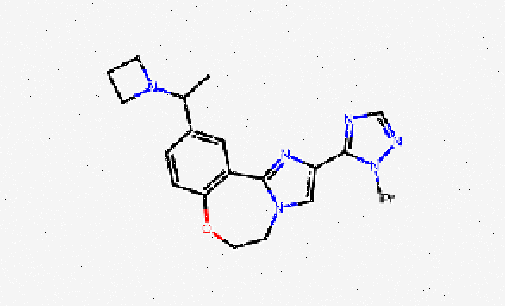 CC(c1ccc2c(c1)-c1nc(-c3ncnn3C(C)C)cn1CCO2)N1C[CH]C1